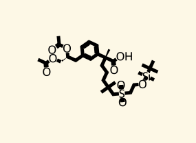 CC(=O)OC[C@@H](Cc1cccc([C@@](C)(CCCC(C)(C)CS(=O)(=O)CCO[Si](C)(C)C(C)(C)C)C(=O)O)c1)OC(C)=O